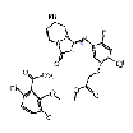 COC(=O)CSc1cc(/N=c2\sc(=O)n3n2CCCC3)c(F)cc1Cl.COc1c(Cl)ccc(Cl)c1C(=O)O.[KH]